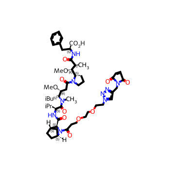 CC[C@H](C)[C@@H]([C@@H](CC(=O)N1CCC[C@H]1[C@H](OC)[C@@H](C)C(=O)N[C@@H](Cc1ccccc1)C(=O)O)OC)N(C)C(=O)[C@@H](NC(=O)[C@@H]1[C@H]2CC[C@@H](C2)N1C(=O)CCOCCOCCn1cc(CN2C(=O)C=CC2=O)nn1)C(C)C